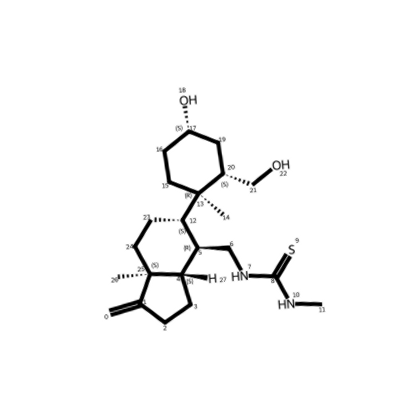 C=C1CC[C@H]2[C@H](CNC(=S)NC)[C@@H]([C@@]3(C)CC[C@H](O)C[C@@H]3CO)CC[C@]12C